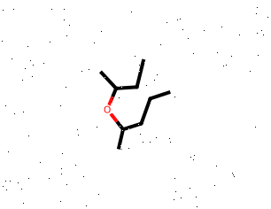 [CH2]C(CCC)OC(C)CC